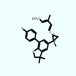 CCOC(=O)C=C(C)C=C[C@@H]1C[C@]1(C)c1cc(-c2ccc(F)cc2)c2c(c1)C(C)(C)CO2